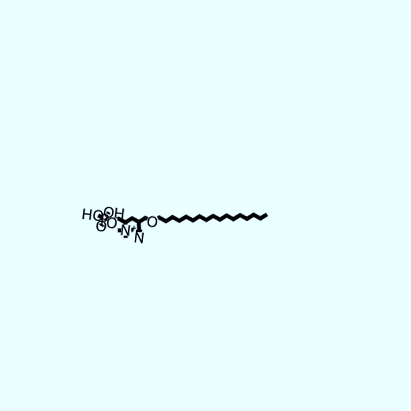 CCCCCCCCCCCCCCCCCOCC(C#N)CC(COP(=O)(O)O)[N+](C)(C)C